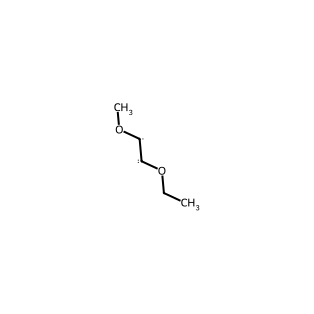 CCO[C][CH]OC